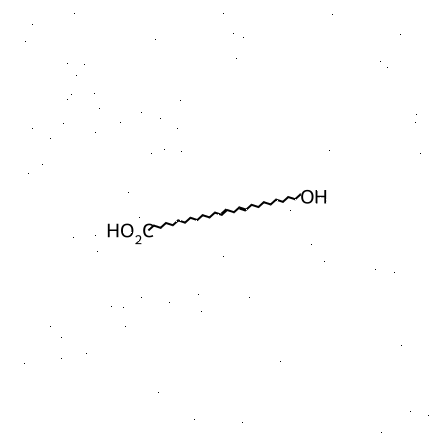 O=C(O)CCCCCCCCCCCC=CCC=CCCCCCCCCCO